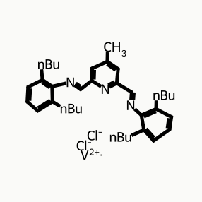 CCCCc1cccc(CCCC)c1N=Cc1cc(C)cc(C=Nc2c(CCCC)cccc2CCCC)n1.[Cl-].[Cl-].[V+2]